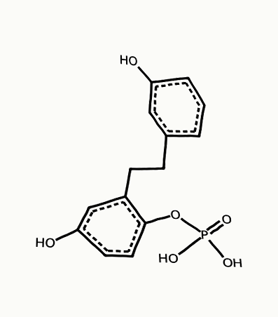 O=P(O)(O)Oc1ccc(O)cc1CCc1cccc(O)c1